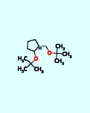 CC(C)(C)OC[C@H]1CCCC1OC(C)(C)C